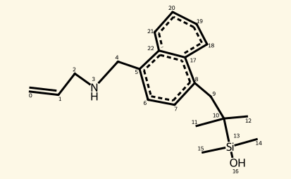 C=CCNCc1ccc(CC(C)(C)[Si](C)(C)O)c2ccccc12